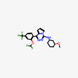 CO[C@H]1CCC[C@@H](Nc2nnc(-c3ccc(C(F)(F)F)cc3OC(F)F)c3cccn23)C1